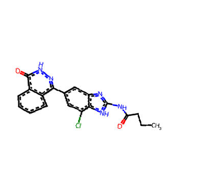 CCCC(=O)Nc1nc2cc(-c3n[nH]c(=O)c4ccccc34)cc(Cl)c2[nH]1